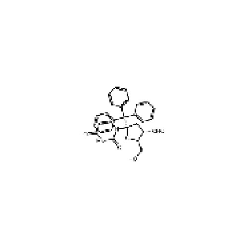 O=C[C@H]1C[C@@](n2ccc(=O)[nH]c2=O)(C(c2ccccc2)(c2ccccc2)c2ccccc2)O[C@@H]1CO